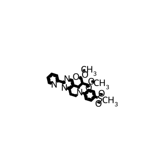 COC(=O)C(C(=O)OC)C1c2cnc(-c3ccccn3)nc2CCN1c1ccc(S(C)(=O)=O)cc1